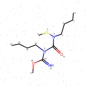 CCCCN(SC)C(=O)N(CCCC)C(=N)OC